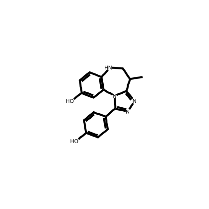 CC1CNc2ccc(O)cc2-n2c(-c3ccc(O)cc3)nnc21